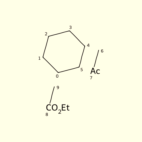 C1CCCCC1.CC(C)=O.CCOC(C)=O